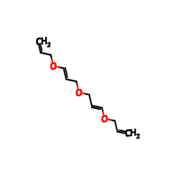 C=CCOC=CCOCC=COCC=C